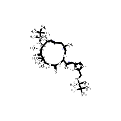 C/C1=C/CC(/C(C)=C/c2csc(CO[Si](C)(C)C(C)(C)C)n2)OC(=O)C[C@H](C)C(C)(C)C(=O)[C@H](C)[C@@H](O[Si](C)(C)C(C)(C)C)[C@@H](C)/C=C/C1